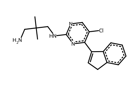 CC(C)(CN)CNc1ncc(Cl)c(C2=CCc3ccccc32)n1